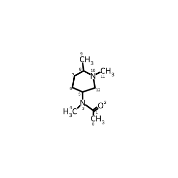 CC(=O)N(C)C1CCC(C)N(C)C1